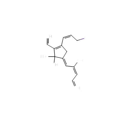 C=C/C=C(C)\C=C1/CC(/C=C\CI)=C(C=C)C1(C)C